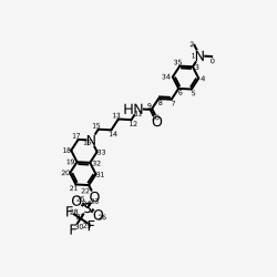 CN(C)c1ccc(/C=C/C(=O)NCCCCN2CCc3ccc(OS(=O)(=O)C(F)(F)F)cc3C2)cc1